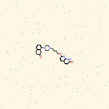 O=C1CCc2cccc(N3CCN(CCCCOc4ccc5ccc(=O)[nH]c5n4)CC3)c2C1